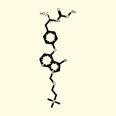 CC(C)(C)OC(=O)N[C@@H](Cc1ccc(Oc2ccnc3c2c(Br)cn3COCC[Si](C)(C)C)cc1)C(=O)O